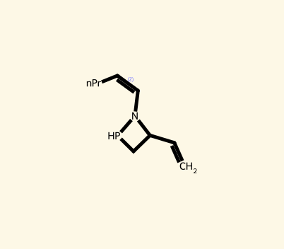 C=CC1CPN1/C=C\CCC